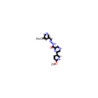 CCOc1ccc(-c2cncc(C(=O)N/N=C/c3cncc(OC)c3)n2)cn1